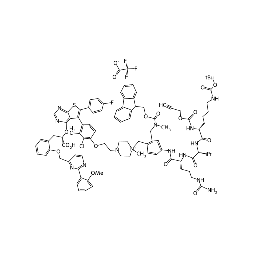 C#CCOC(=O)N[C@@H](CCCCNC(=O)OC(C)(C)C)C(=O)N[C@H](C(=O)N[C@@H](CCCNC(N)=O)C(=O)Nc1ccc(C[N+]2(C)CCN(CCOc3ccc(-c4c(-c5ccc(F)cc5)sc5ncnc(O[C@H](Cc6ccccc6OCc6ccnc(-c7ccccc7OC)n6)C(=O)O)c45)c(C)c3Cl)CC2)c(CN(C)C(=O)OCC2c3ccccc3-c3ccccc32)c1)C(C)C.O=C([O-])C(F)(F)F